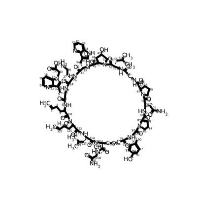 C=CCCC1NC(=O)[C@H](Cc2cn(CC(=O)O)c3cccnc23)NC(=O)[C@H](CCN)NC(=O)[C@H](Cc2c[nH]c3cccnc23)NC(=O)[C@@H]2C[C@@H](O)CN2C(=O)[C@H](CC(C)C)NC(=O)CNC(=O)[C@H]2CCCN2C(=O)[C@@H](CC(N)=O)NC(=O)[C@@H]2CCCN2C(=O)[C@H](Cc2ccc(O)cc2)NC(=O)CSC[C@@H](C(=O)NCC(N)=O)N(C)C(=O)[C@H](CC(C)C)NC(=O)C(CCC=C)N(C)C1=O